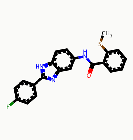 CSc1ccccc1C(=O)Nc1ccc2[nH]c(-c3ccc(F)cc3)nc2c1